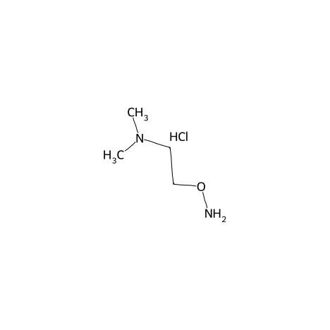 CN(C)CCON.Cl